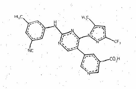 [C-]#[N+]c1cc(C)cc(Nc2ncc(-c3cncc(C(=O)O)c3)c(-n3nc(C(F)(F)F)cc3C)n2)c1